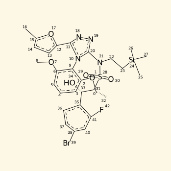 COc1cccc(OC)c1-n1c(-c2ccc(C)o2)nnc1N(CC[Si](C)(C)C)S(=O)(=O)[C@H](C)[C@@H](O)c1ccc(Br)cc1F